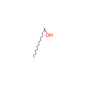 C=C(CO)CCCCCCCCCCCC